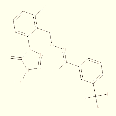 CC(=NOCc1c(Cl)cccc1-n1nnn(C)c1=O)c1cccc(C(F)(F)F)c1